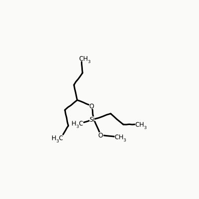 CCCC(CCC)O[Si](C)(CCC)OC